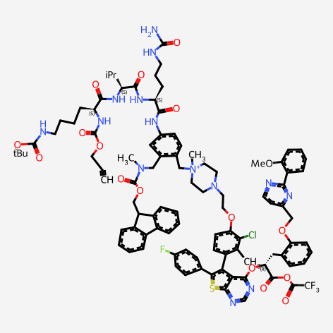 C#CCOC(=O)N[C@@H](CCCCNC(=O)OC(C)(C)C)C(=O)N[C@H](C(=O)N[C@@H](CCCNC(N)=O)C(=O)Nc1ccc(C[N+]2(C)CCN(CCOc3ccc(-c4c(-c5ccc(F)cc5)sc5ncnc(O[C@H](Cc6ccccc6OCc6ccnc(-c7ccccc7OC)n6)C(=O)OC(=O)C(F)(F)F)c45)c(C)c3Cl)CC2)c(CN(C)C(=O)OCC2c3ccccc3-c3ccccc32)c1)C(C)C